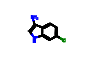 Nc1[c][nH]c2cc(Cl)ccc12